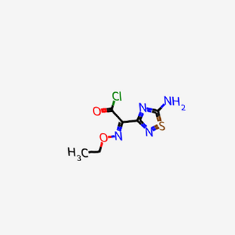 CCON=C(C(=O)Cl)c1nsc(N)n1